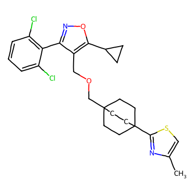 Cc1csc(C23CCC(COCc4c(-c5c(Cl)cccc5Cl)noc4C4CC4)(CC2)CC3)n1